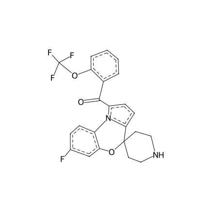 O=C(c1ccccc1OC(F)(F)F)c1ccc2n1-c1ccc(F)cc1OC21CCNCC1